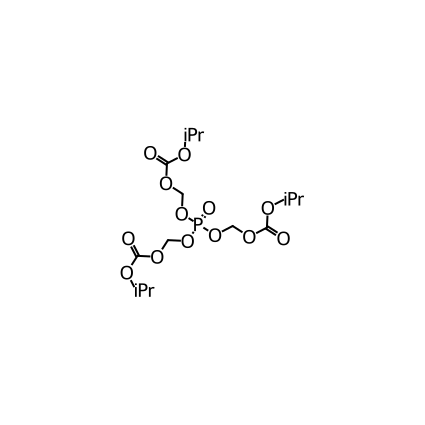 CC(C)OC(=O)OCOP(=O)(OCOC(=O)OC(C)C)OCOC(=O)OC(C)C